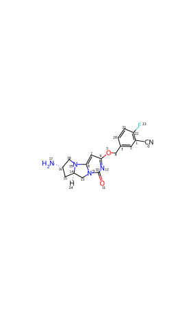 N#Cc1cc(COc2cc3n(c(=O)n2)C[C@H]2C[C@H](N)CN32)ccc1F